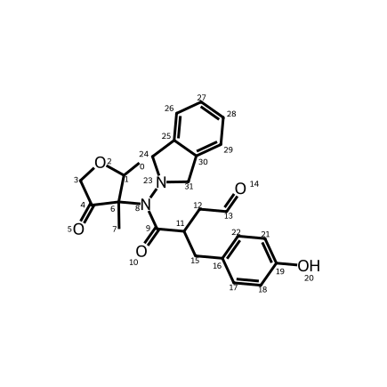 CC1OCC(=O)C1(C)N(C(=O)C(CC=O)Cc1ccc(O)cc1)N1Cc2ccccc2C1